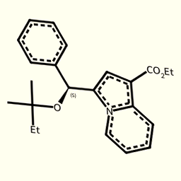 CCOC(=O)c1cc([C@@H](OC(C)(C)CC)c2ccccc2)n2ccccc12